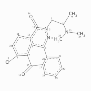 CC(Cn1nc2c3c(c(Cl)ccc3c1=O)C(=O)c1ccccc1-2)N(C)C